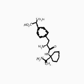 C=C(N)C1(NC(=O)[C@@H](N)Cc2ccc(C(C(=O)O)C(=O)O)cc2)CCCCC1